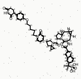 O=C1CCC(c2ccc(OCCCCCn3ccc([C@@H]4CN(C(=O)[C@@H]5CC[C@@H]6C[C@H]7C[C@H]7C[C@H](NC(=O)c7cc8cc(C(F)(F)P(=O)(O)O)ccc8s7)C(=O)N65)C5(CC5)C4)cc3=O)cc2)C(=O)N1